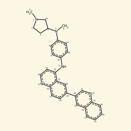 CN1CCC(N(C)c2ccc(Nc3ccnc4ccc(-c5cnc6ccccc6c5)cc34)cc2)C1